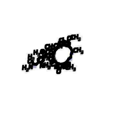 C=C/C(N)=C\c1ccc(C(=O)N(C)[C@@H](C)C(=O)O[C@H]2CC(=O)N(C)c3cc(cc(OC)c3Cl)C/C(C)=C/C=C/[C@@H](OC)[C@@]3(O)C[C@H](OC(=O)N3)[C@@H](C)[C@@H]3O[C@@]23C)cc1N